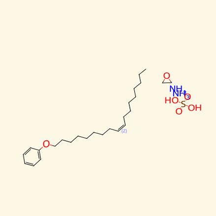 C1CO1.CCCCCCCC/C=C\CCCCCCCCOc1ccccc1.N.N.O=S(=O)(O)O